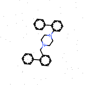 c1ccc(-c2ccccc2CN2CCN(c3ccccc3-c3ccccc3)CC2)cc1